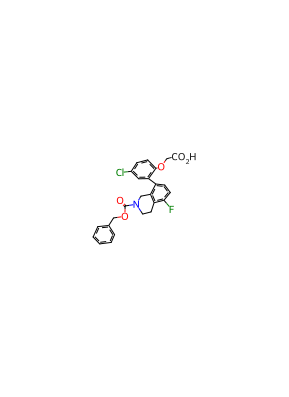 O=C(O)COc1ccc(Cl)cc1-c1ccc(F)c2c1CN(C(=O)OCc1ccccc1)CC2